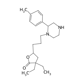 CCC1(CC)CC(CCCN2CCNCC2c2ccc(C)cc2)OC1=O